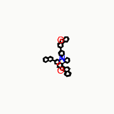 c1cc(-c2ccc3ccccc3c2)cc(N(c2ccc(-c3ccc4oc5ccccc5c4c3)cc2)c2ccccc2-c2cccc3oc4c5ccccc5ccc4c23)c1